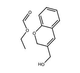 CCOC=O.OCC1=Cc2ccccc2OC1